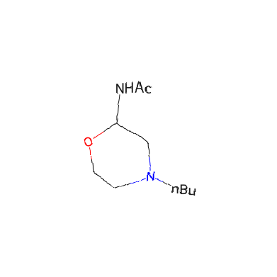 [CH2]CCCN1CCOC(NC(C)=O)C1